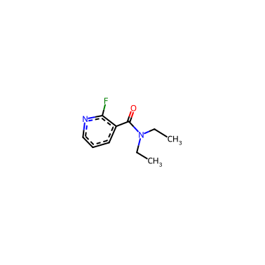 CCN(CC)C(=O)c1cccnc1F